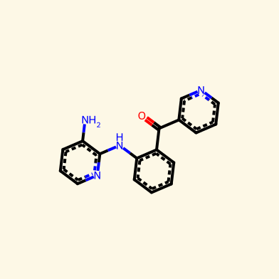 Nc1cccnc1Nc1ccccc1C(=O)c1cccnc1